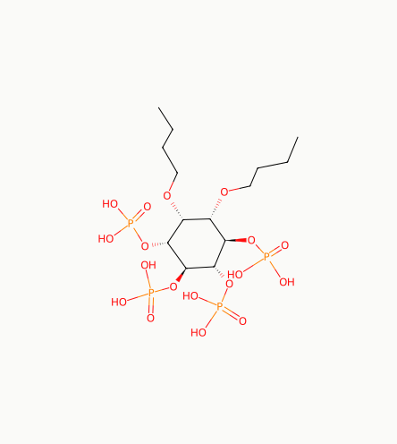 CCCCO[C@@H]1[C@H](OCCCC)[C@@H](OP(=O)(O)O)[C@H](OP(=O)(O)O)[C@@H](OP(=O)(O)O)[C@@H]1OP(=O)(O)O